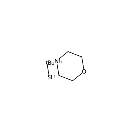 C1COCCN1.CC(C)(C)S